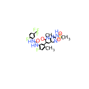 Cc1cc(F)c(NC(=O)Nc2cc(C(F)(F)F)ccc2F)cc1-c1cc2cnc(NS(C)(=O)=O)nc2n(C)c1=O